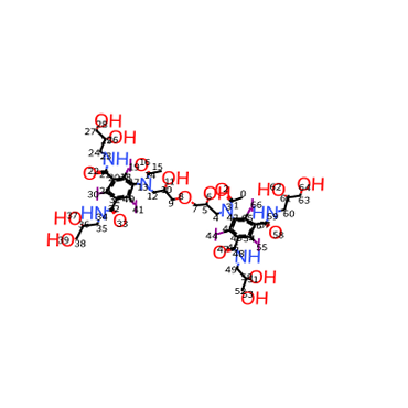 CC(=O)N(CC(O)COCC(O)CN(C(C)=O)c1c(I)c(C(=O)NCC(O)CO)c(I)c(C(=O)NCC(O)CO)c1I)c1c(I)c(C(=O)NCC(O)CO)c(I)c(C(=O)NCC(O)CO)c1I